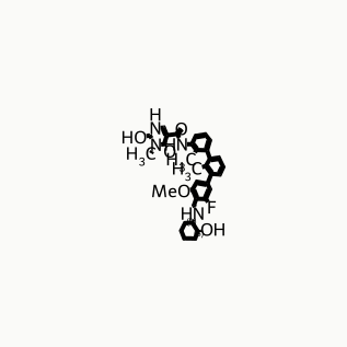 COc1cc(-c2cccc(-c3cccc(NC(=O)C4=CNC(O)N(C)C4=O)c3C)c2C)cc(F)c1CN[C@@H]1CCCC[C@@H]1O